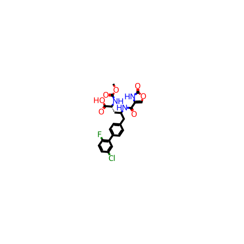 COC(=O)N[C@H](CC(Cc1ccc(-c2cc(Cl)ccc2F)cc1)NC(=O)c1coc(=O)[nH]1)C(=O)O